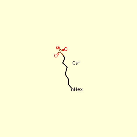 CCCCCCCCCCCCS(=O)(=O)[O-].[Cs+]